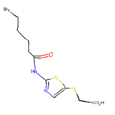 CC(C)CCCCC(=O)Nc1ncc(SCC(=O)O)s1